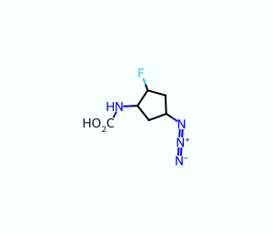 [N-]=[N+]=NC1CC(F)C(NC(=O)O)C1